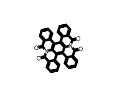 O=c1c2ccccc2c2c3c4ccccc4c(=O)n4c(=O)c5ccccc5c(c5c6ccccc6c(=O)n1c25)c34